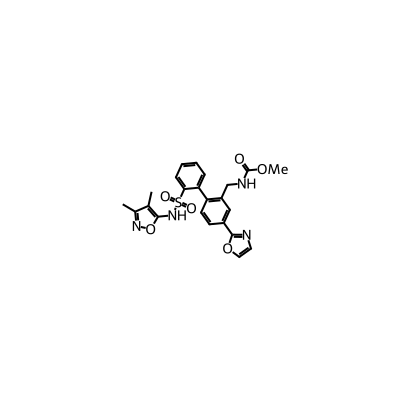 COC(=O)NCc1cc(-c2ncco2)ccc1-c1ccccc1S(=O)(=O)Nc1onc(C)c1C